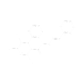 CC1=C(C(=O)O)C(c2ccccc2)C(C(=O)OCC=Cc2ccccc2)=C(C)N1